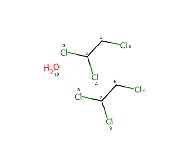 ClCC(Cl)Cl.ClCC(Cl)Cl.O